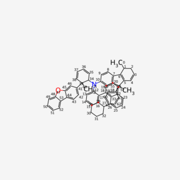 CC1CC=CC2=C1c1ccc(N(c3ccccc3-c3cccc4cccc(C5CCCCC5)c34)C3C=CC=CC3(C)c3ccc4c(c3)oc3ccccc34)cc1C2(C)c1ccccc1